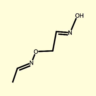 CC=NOCC=NO